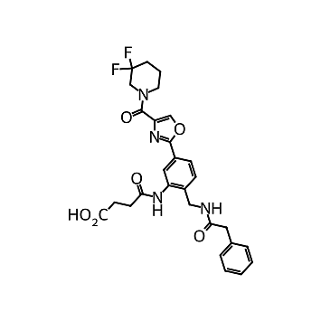 O=C(O)CCC(=O)Nc1cc(-c2nc(C(=O)N3CCCC(F)(F)C3)co2)ccc1CNC(=O)Cc1ccccc1